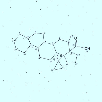 CC1CC2C3CCC4CCCCC4C3CCC2C2(C3(C)CC3)CCCC12C(=O)O